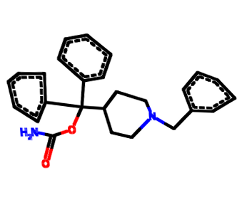 NC(=O)OC(c1ccccc1)(c1ccccc1)C1CCN(Cc2ccccc2)CC1